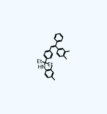 CCC(CC)(Nc1ccc(C)cc1C)c1ccc(C=C(c2ccccc2)c2ccc(C)c(C)c2)cc1